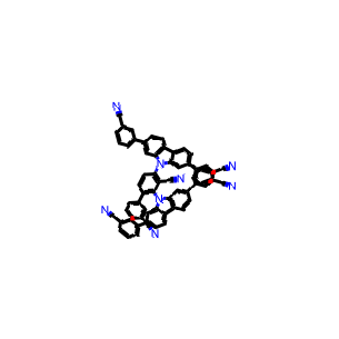 N#Cc1cccc(-c2ccc3c4ccc(-c5cccc(C#N)c5)cc4n(-c4ccc(-c5cccc(C#N)c5)c(-n5c6cc(-c7cccc(C#N)c7)ccc6c6ccc(-c7cccc(C#N)c7)cc65)c4C#N)c3c2)c1